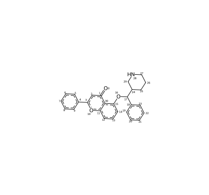 O=c1cc(-c2ccccc2)oc2cccc(OC(c3ccccc3)C3CCCNC3)c12